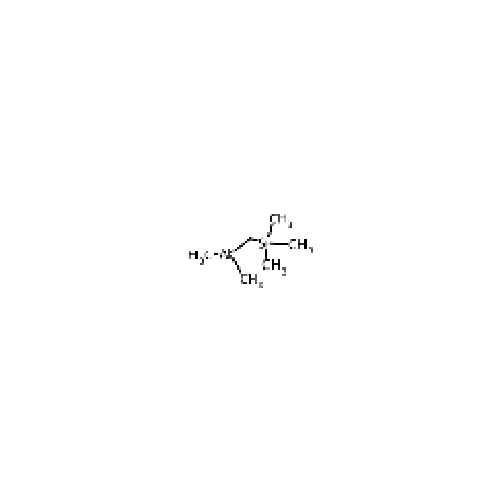 [CH3][Al]([CH3])[CH2][Si](C)(C)C